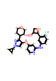 OC1COC1c1cc(Nc2cc(Oc3cn(C4CC4)nc3C3CCOCC3)ccn2)ccc1F